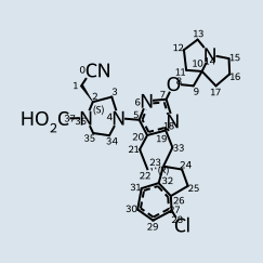 N#CC[C@H]1CN(c2nc(OCC34CCCN3CCC4)nc3c2CC[C@@]2(CCc4c(Cl)cccc42)C3)CCN1C(=O)O